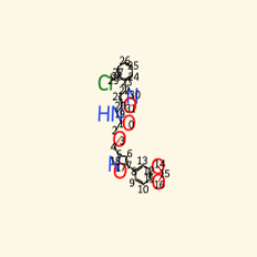 O=C(COCc1cc(-c2ccc3c(c2)OCO3)on1)Nc1cc(-c2ccccc2Cl)no1